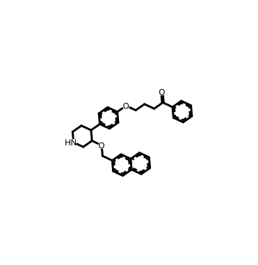 O=C(CCCOc1ccc(C2CCNCC2OCc2ccc3ccccc3c2)cc1)c1ccccc1